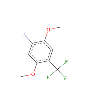 COc1cc(C(F)(F)F)c(OC)cc1I